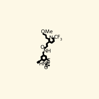 C#Cc1cc(CNC(=O)/C=C/c2ccc(C(F)(F)F)nc2CCCOC)cc(F)c1NS(C)(=O)=O